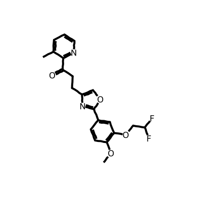 COc1ccc(-c2nc(CCC(=O)c3ncccc3C)co2)cc1OCC(F)F